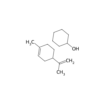 C=C(C)C1CC=C(C)CC1.OC1CCCCC1